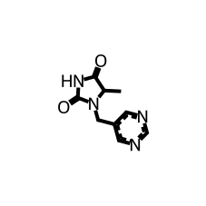 CC1C(=O)NC(=O)N1Cc1cncnc1